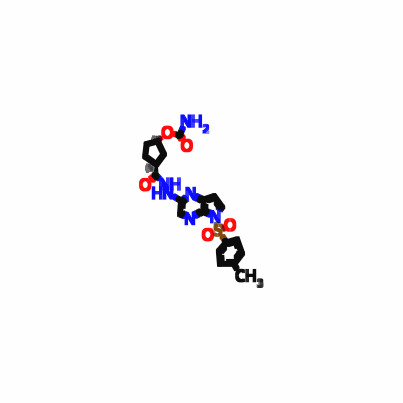 Cc1ccc(S(=O)(=O)n2ccc3nc(NNC(=O)[C@H]4CC[C@@H](OC(N)=O)C4)cnc32)cc1